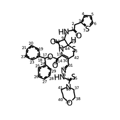 O=C(Cc1cccs1)NC1C(=O)N2C(C(=O)OC(c3ccccc3)c3ccccc3)=C(C=NNC(=S)N3CCOCC3)CS[C@@H]12